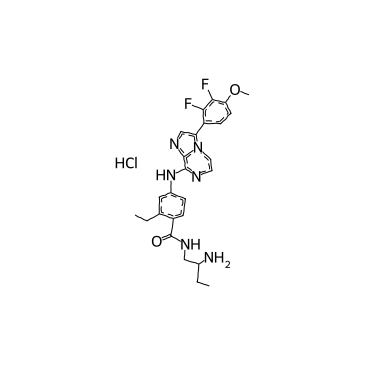 CCc1cc(Nc2nccn3c(-c4ccc(OC)c(F)c4F)cnc23)ccc1C(=O)NCC(N)CC.Cl